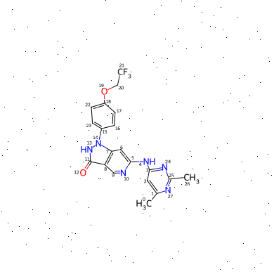 Cc1cc(Nc2cc3c(cn2)c(=O)[nH]n3-c2ccc(OCC(F)(F)F)cc2)nc(C)n1